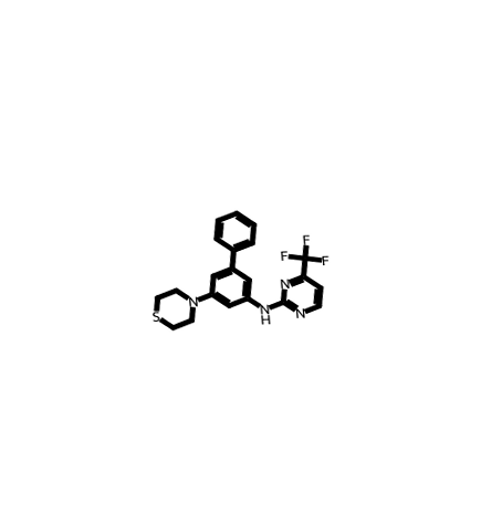 FC(F)(F)c1ccnc(Nc2cc(-c3ccccc3)cc(N3CCSCC3)c2)n1